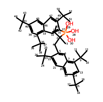 CCC(C)(Cc1cc2c(C(C)(C)C)cc(C(C)(C)C)cc2cc1C(C)(C)C)P(O)(O)(O)c1cc2c(C(C)(C)C)cc(C(C)(C)C)cc2cc1C(C)(C)C